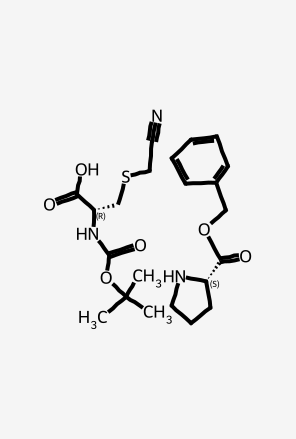 CC(C)(C)OC(=O)N[C@@H](CSCC#N)C(=O)O.O=C(OCc1ccccc1)[C@@H]1CCCN1